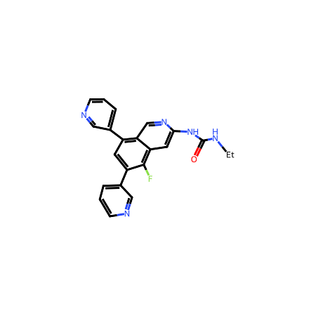 CCNC(=O)Nc1cc2c(F)c(-c3cccnc3)cc(-c3cccnc3)c2cn1